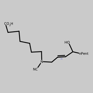 CCCCCC(O)/C=C/CN(C#N)CCCCCCC(=O)O